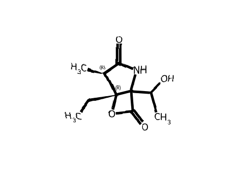 CC[C@]12OC(=O)C1(C(C)O)NC(=O)[C@@H]2C